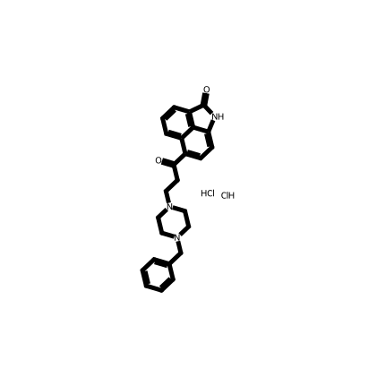 Cl.Cl.O=C(CCN1CCN(Cc2ccccc2)CC1)c1ccc2c3c(cccc13)C(=O)N2